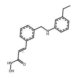 CCc1cccc(NCc2cccc(/C=C/C(=O)NO)c2)c1